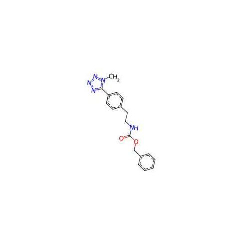 Cn1nnnc1-c1ccc(CCNC(=O)OCc2ccccc2)cc1